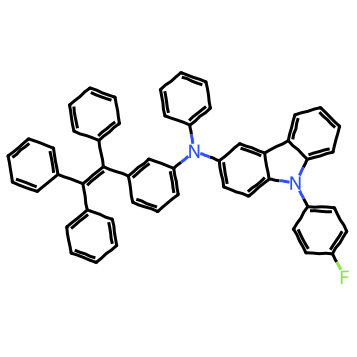 Fc1ccc(-n2c3ccccc3c3cc(N(c4ccccc4)c4cccc(C(=C(c5ccccc5)c5ccccc5)c5ccccc5)c4)ccc32)cc1